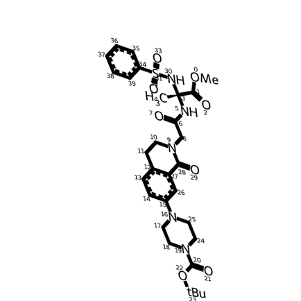 COC(=O)[C@](C)(NC(=O)CN1CCc2ccc(N3CCN(C(=O)OC(C)(C)C)CC3)cc2C1=O)NS(=O)(=O)c1ccccc1